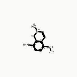 CCNc1ccc(N)c2c1C=CN(O)C2